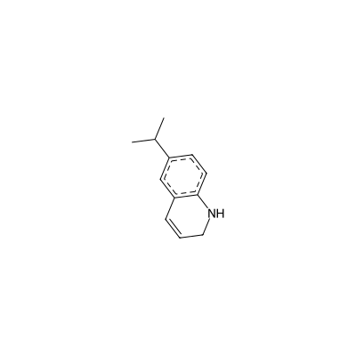 CC(C)c1ccc2c(c1)C=CCN2